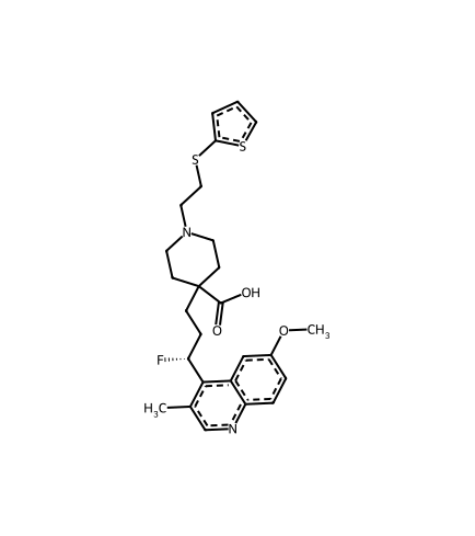 COc1ccc2ncc(C)c([C@H](F)CCC3(C(=O)O)CCN(CCSc4cccs4)CC3)c2c1